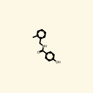 Cc1ccccc1CNC(=O)c1ccc(O)cc1